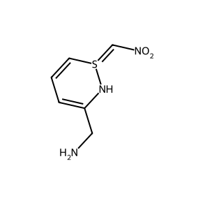 NCC1=CC=CS(=C[N+](=O)[O-])N1